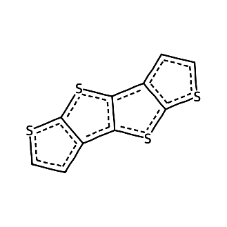 c1cc2c(s1)sc1c3ccsc3sc21